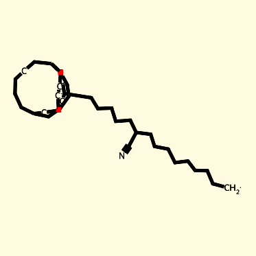 [CH2]CCCCCCCCC(C#N)CCCCC[C]1OC2CCC(O1)C1CCCCCC(CCCCC1)C2